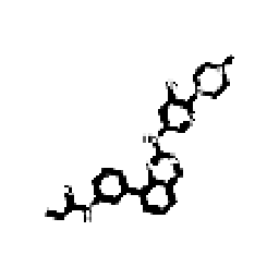 C=CC(=O)Nc1cccc(-c2cccc3cnc(Nc4cnc(N5CCN(C)CC5)c(C#N)c4)nc23)c1